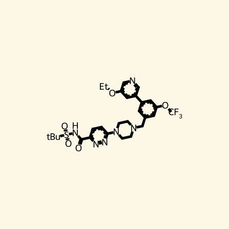 CCOc1cncc(-c2cc(CN3CCN(c4ccc(C(=O)NS(=O)(=O)C(C)(C)C)nn4)CC3)cc(OC(F)(F)F)c2)c1